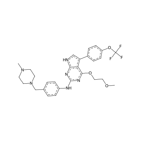 COCCOc1nc(Nc2ccc(CN3CCN(C)CC3)cc2)nc2[nH]cc(-c3ccc(OC(F)(F)F)cc3)c12